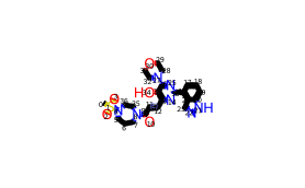 CS(=O)(=O)N1CCCN(C(=O)/C=C/c2nc(-c3cccc4[nH]ncc34)nc(N3CCOCC3)c2O)CC1